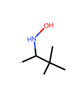 [CH2]C(NO)C(C)(C)C